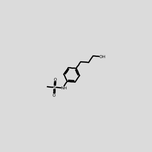 CS(=O)(=O)Nc1ccc(CCCO)cc1